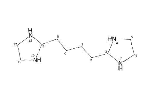 C(CCC1NCCN1)CC1NCCN1